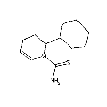 NC(=S)N1C=CCCC1C1CCCCC1